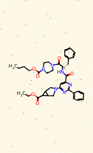 CCCCOC(=O)N1CCN(C(=O)[C@H](Cc2ccccc2)NC(=O)c2cc(N3CC4C(C3)C4C(=O)OCC)nc(-c3ccccc3)n2)CC1